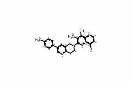 Cc1ccc(-c2cnc3c(c2)CN(c2nn4c(=O)ccnc4c(C)c2C)CC3)cn1